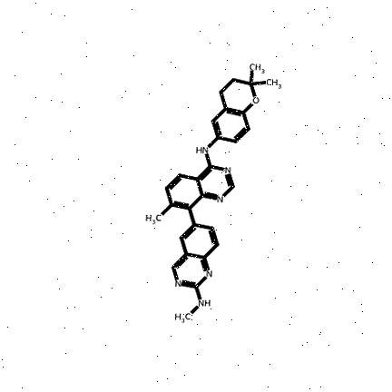 CNc1ncc2cc(-c3c(C)ccc4c(Nc5ccc6c(c5)CCC(C)(C)O6)ncnc34)ccc2n1